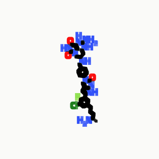 C[C@H](N)CCCc1cc(Cl)c(F)c(-c2cc3cn(-c4ccc(CN[C@H](CCNC(=N)N)Cn5ccc(=O)[nH]c5=O)cc4)c(=O)nc3[nH]2)c1